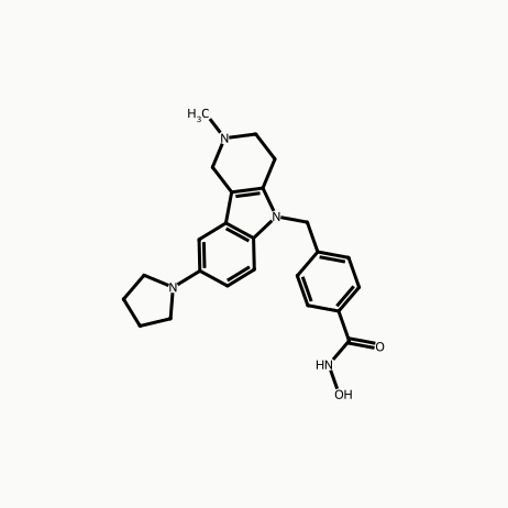 CN1CCc2c(c3cc(N4CCCC4)ccc3n2Cc2ccc(C(=O)NO)cc2)C1